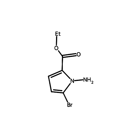 CCOC(=O)c1ccc(Br)n1N